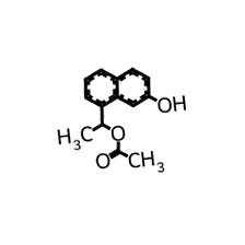 CC(=O)OC(C)c1cccc2ccc(O)cc12